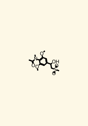 COc1cc(C(O)CS(C)(=O)=O)cc(OC)c1N(C)C(C)=O